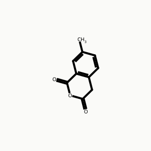 Cc1ccc2c(c1)C(=O)OC(=O)C2